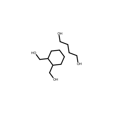 OCC1CCCCC1CO.OCCCCO